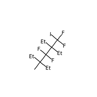 CCC(C)(CC)C(F)(F)C(CC)(CC)C(F)(F)I